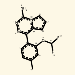 Cc1ccc(-c2nnc(N)n3cccc23)c(OC(F)F)c1